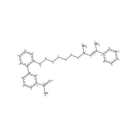 N/C(=C\N(N)CCCCCCOc1ccccc1-c1cccc(C(=O)O)c1)c1cccnc1